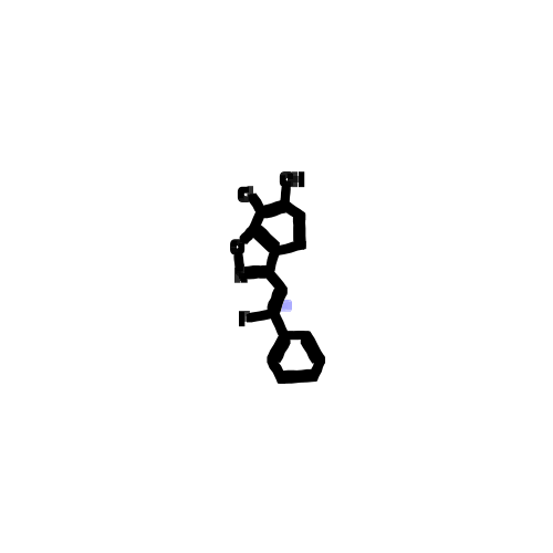 Oc1ccc2c(/C=C(\F)c3ccccc3)noc2c1Cl